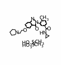 CS(=O)(=O)O.CS(=O)(=O)O.Cc1ccc(C(=O)NC2CC2)cc1-n1cnc2ccc(OCCN3CCCCC3)cc2c1=O